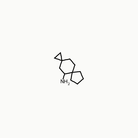 NC1CC2(CC2)CCC12CCCC2